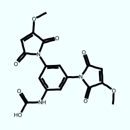 COC1=CC(=O)N(c2cc(NC(=O)O)cc(N3C(=O)C=C(OC)C3=O)c2)C1=O